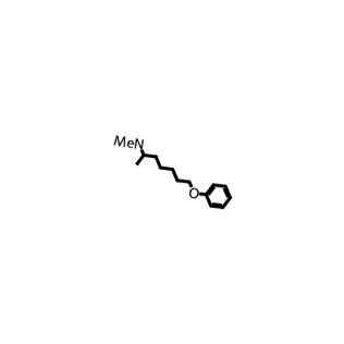 CNC(C)CCCCCOc1ccccc1